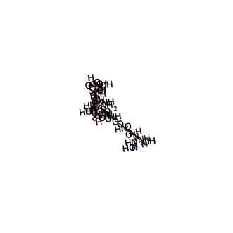 C/C(=N/O)C(C)(C)NCCN(CCNC(=O)CCC(=O)NCCOCCOCCNC(=O)CNC(=O)[C@@H]1CSSC[C@H](NC(=O)[C@H](CC(=O)O)NC(=O)CNC(=O)[C@H](CCCNC(=N)N)NC(=O)[C@@H]2CSCC(=O)NCC(=O)N[C@@H](CC(=O)O)C(=O)N2)C(=O)N[C@@H](Cc2ccccc2)C(=O)N1)CCNC(C)(C)/C(C)=N\O